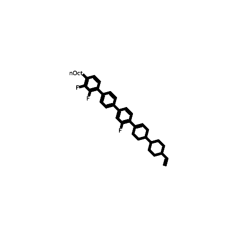 C=CC1CCC(C2CC=C(c3ccc(-c4ccc(-c5ccc(CCCCCCCC)c(F)c5F)cc4)cc3F)CC2)CC1